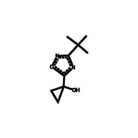 CC(C)(C)c1noc(C2(O)CC2)n1